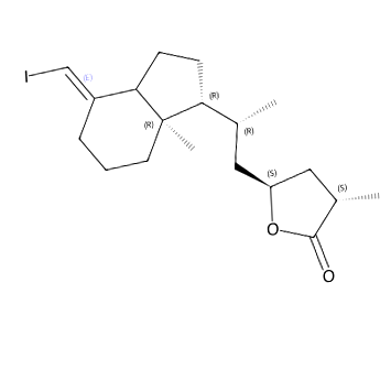 C[C@H](C[C@H]1C[C@H](C)C(=O)O1)[C@H]1CCC2/C(=C/I)CCC[C@@]21C